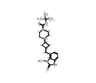 Cn1c(=O)[nH]c2cccc(CC3CC(N4CCN(C(=O)OC(C)(C)C)CC4)C3)c21